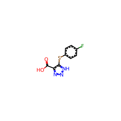 O=C(O)c1nn[nH]c1Sc1ccc(F)cc1